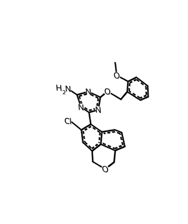 COc1ccccc1COc1nc(N)nc(-c2c(Cl)cc3c4c(cccc24)COC3)n1